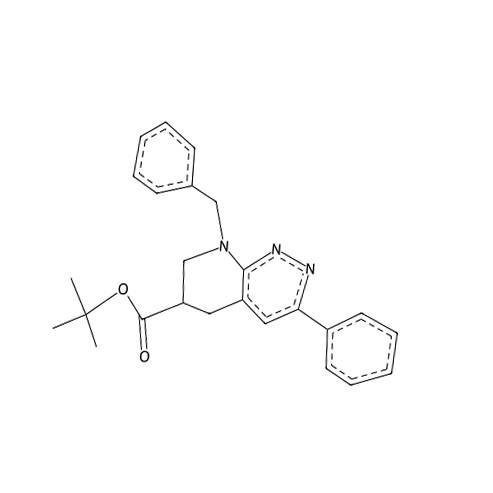 CC(C)(C)OC(=O)C1Cc2cc(-c3ccccc3)nnc2N(Cc2ccccc2)C1